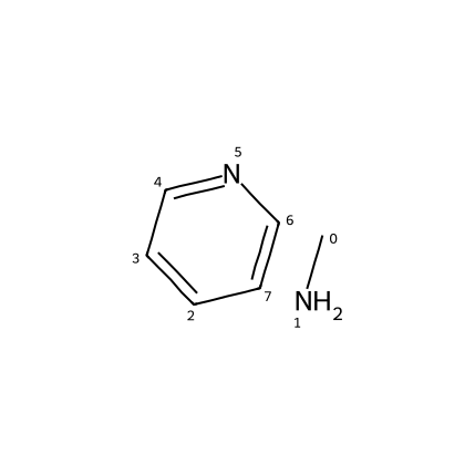 CN.c1ccncc1